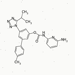 Cc1ccc(-c2cc(OC(=O)Nc3cccc(N)n3)cc(-n3nnnc3C(C)C)c2)cc1